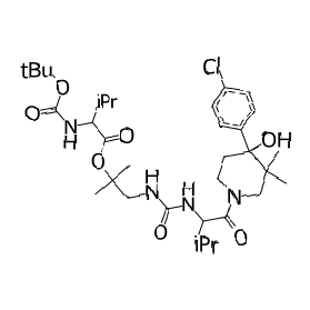 CC(C)C(NC(=O)OC(C)(C)C)C(=O)OC(C)(C)CNC(=O)NC(C(=O)N1CCC(O)(c2ccc(Cl)cc2)C(C)(C)C1)C(C)C